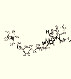 Nc1ccccc1N(N)[S+]([O-])Cc1cc(NC(=O)Cc2ccc(OCCN3CCCC3)cc2)n[nH]1